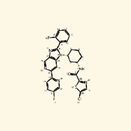 O=C(N[C@H]1CCC[C@@H](n2c(-c3ccccc3F)nc3cnc(-c4ccc(F)cn4)cc32)C1)c1ncc(Cl)s1